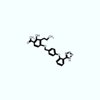 CCCc1c(OCc2ccc(Oc3ccccc3-c3nnn[nH]3)cc2)ccc(C(C)=O)c1O